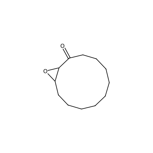 O=C1CCCCCCCCCC2OC12